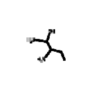 BC(O)C(N)CC